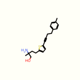 Cc1ccc(CCC#Cc2ccc(CCC(C)(N)CO)s2)cc1